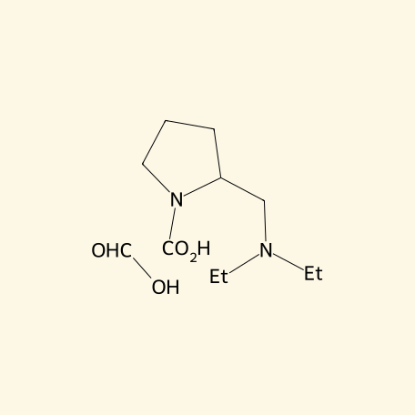 CCN(CC)CC1CCCN1C(=O)O.O=CO